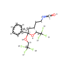 O=C=NCCC[SiH2]C(OCC(F)(F)F)(OCC(F)(F)F)c1ccccc1